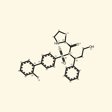 O=C([C@H]1NCCS1)N([C@@H](CCO)c1ccccc1)S(=O)(=O)c1ccc(-c2ccccc2F)cc1